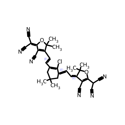 CC1(C)CC(/C=C/C2=C(C#N)C(=C(C#N)C#N)OC2(C)C)=C(Cl)C(=C/C=C2/C(C#N)=C(C(C#N)C#N)OC2(C)C)/C1